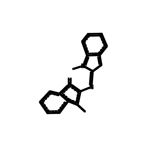 Cc1c(N=C2C=c3ccccc3=[N+]2C)[nH]c2ccccc12